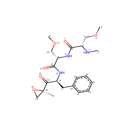 CN[C@@H](COC)C(=O)N[C@@H](COC)C(=O)N[C@@H](Cc1ccccc1)C(=O)[C@@]1(C)CO1